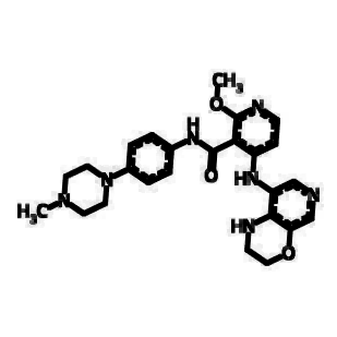 COc1nccc(Nc2cncc3c2NCCO3)c1C(=O)Nc1ccc(N2CCN(C)CC2)cc1